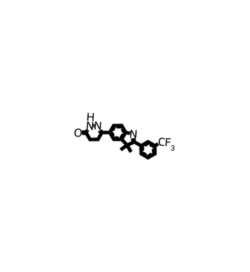 CC1(C)C(c2cccc(C(F)(F)F)c2)=Nc2ccc(C3=NNC(=O)CC3)cc21